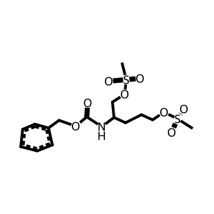 CS(=O)(=O)OCCCC(COS(C)(=O)=O)NC(=O)OCc1ccccc1